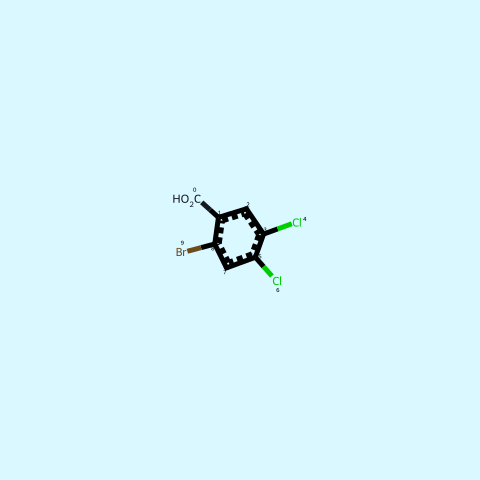 O=C(O)c1cc(Cl)c(Cl)cc1Br